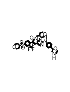 O=c1c(-c2ccc(S(=O)(=O)C3CCOCC3)cc2C(F)(F)F)cc2cnc(Nc3ccc(C4CNCCO4)cc3)nc2n1CC1CCOCC1